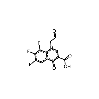 O=CCn1cc(C(=O)O)c(=O)c2cc(F)c(F)c(F)c21